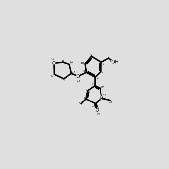 Cc1cc(-c2cc(CO)ccc2OC2CCOCC2)cn(C)c1=O